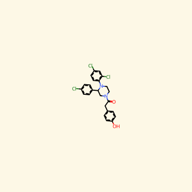 O=C(Cc1ccc(O)cc1)N1CCN(c2ccc(Cl)cc2Cl)C(c2ccc(Cl)cc2)C1